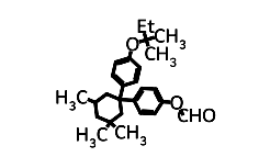 CCC(C)(C)Oc1ccc(C2(c3ccc(OC=O)cc3)CC(C)CC(C)(C)C2)cc1